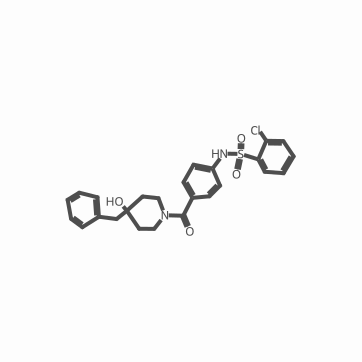 O=C(c1ccc(NS(=O)(=O)c2ccccc2Cl)cc1)N1CCC(O)(Cc2ccccc2)CC1